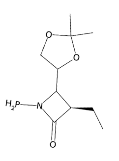 CC[C@H]1C(=O)N(P)C1C1COC(C)(C)O1